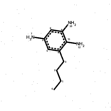 CCCCc1cc(N)cc(N)c1N